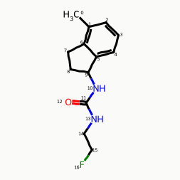 Cc1cccc2c1CCC2NC(=O)NCCF